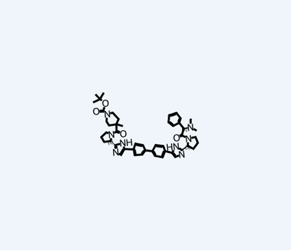 CN(C)[C@@H](C(=O)N1CCC[C@H]1c1ncc(-c2ccc(-c3ccc(-c4cnc([C@@H]5CCCN5C(=O)C5(C)CCN(C(=O)OC(C)(C)C)CC5)[nH]4)cc3)cc2)[nH]1)c1ccccc1